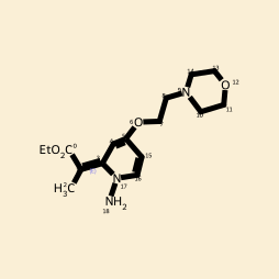 CCOC(=O)/C(C)=C1\C=C(OCCN2CCOCC2)C=CN1N